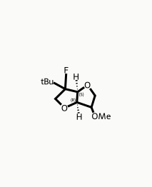 COC1CO[C@H]2[C@@H]1OCC2(F)C(C)(C)C